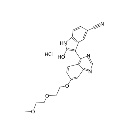 COCCOCCOc1ccc2c(-c3c(O)[nH]c4ccc(C#N)cc34)ncnc2c1.Cl